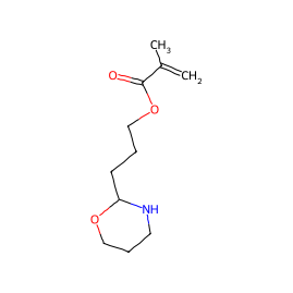 C=C(C)C(=O)OCCCC1NCCCO1